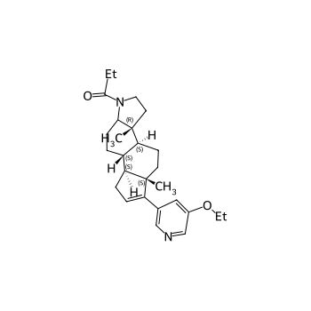 CCOc1cncc(C2=CC[C@H]3[C@@H]4CCC5N(C(=O)CC)CC[C@]5(C)[C@H]4CC[C@]23C)c1